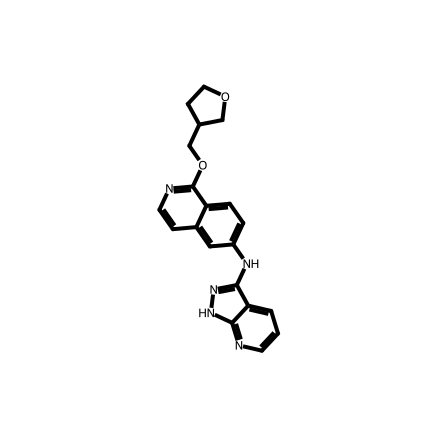 c1cnc2[nH]nc(Nc3ccc4c(OCC5CCOC5)nccc4c3)c2c1